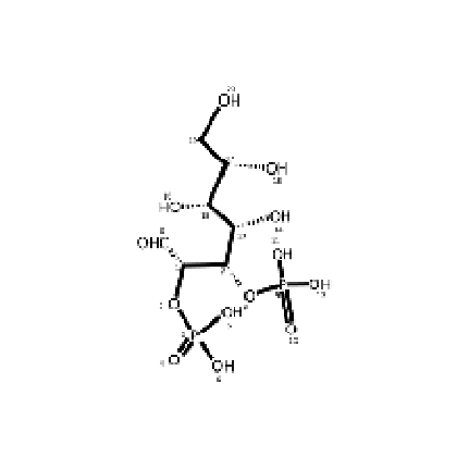 O=C[C@@H](OP(=O)(O)O)[C@@H](OP(=O)(O)O)[C@@H](O)[C@H](O)[C@@H](O)CO